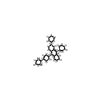 c1ccc(-c2ccc3c(-c4ccc(-c5ncccn5)cc4)c4ccccc4c(-c4ccccc4)c3c2)cc1